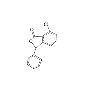 O=C1OC(c2ccccc2)c2cccc(Cl)c21